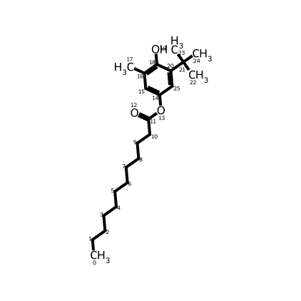 CCCCCCCCCCCC(=O)Oc1cc(C)c(O)c(C(C)(C)C)c1